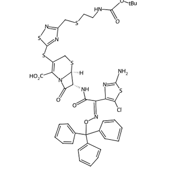 CC(C)(C)OC(=O)NCCSCc1nsc(SC2=C(C(=O)O)N3C(=O)[C@@H](NC(=O)/C(=N\OC(c4ccccc4)(c4ccccc4)c4ccccc4)c4nc(N)sc4Cl)[C@@H]3SC2)n1